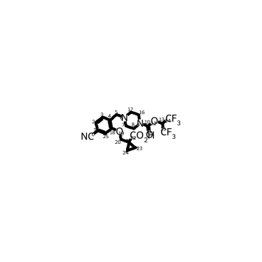 N#Cc1ccc(CN2CCN(C(=O)OC(C(F)(F)F)C(F)(F)F)CC2)c(OCC2(C(=O)O)CC2)c1